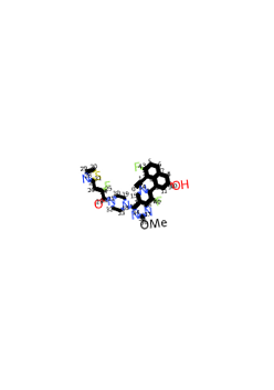 C#Cc1c(F)ccc2cc(O)cc(-c3ncc4c(N5CCN(C(=O)/C(F)=C/c6nccs6)CC5)nc(OC)nc4c3F)c12